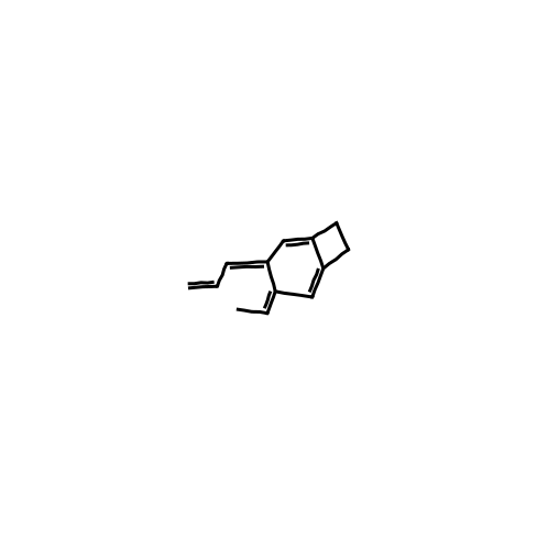 C=C/C=c1/cc2c(c/c1=C/C)CC2